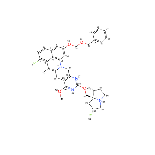 CCc1c(F)ccc2cc(OCOCc3ccccc3)cc(N3CCc4c(nc(OC[C@@]56CCCN5C[C@H](F)C6)nc4OC)C3)c12